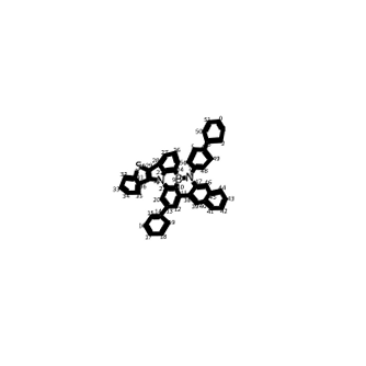 c1ccc(-c2ccc(N3B4c5c(cc(-c6ccccc6)cc5-n5c6c4cccc6c4sc6ccccc6c45)-c4cc5ccccc5cc43)cc2)cc1